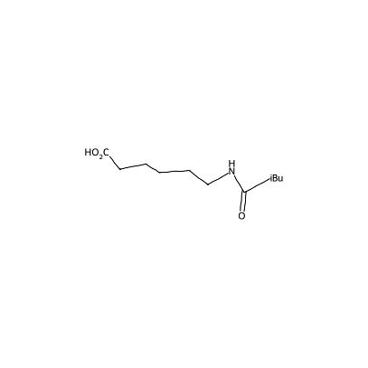 CCC(C)C(=O)NCCCCCC(=O)O